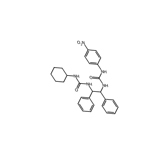 O=C(Nc1ccc([N+](=O)[O-])cc1)NC(c1ccccc1)C(NC(=O)NC1CCCCC1)c1ccccc1